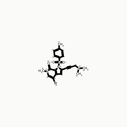 Cc1ccc(S(=O)(=O)n2c(C#CCN(C)C)cc3c(Br)cn(C)c(=O)c32)cc1